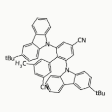 Cc1cc(C#N)cc(-c2c(-n3c4ccccc4c4cc(C(C)(C)C)ccc43)cc(C#N)cc2-n2c3ccccc3c3cc(C(C)(C)C)ccc32)c1